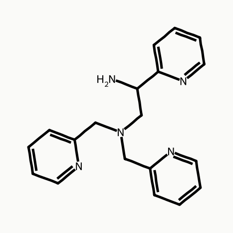 NC(CN(Cc1ccccn1)Cc1ccccn1)c1ccccn1